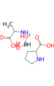 CC(N)C(=O)O.O=C(O)C1CCCN1.OBO